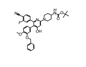 COc1ccc(-c2c(O)cc(N3CCC(NC(=O)OC(C)(C)C)CC3)nc2-c2ccc(C#N)c(F)c2)cc1OCc1ccccc1